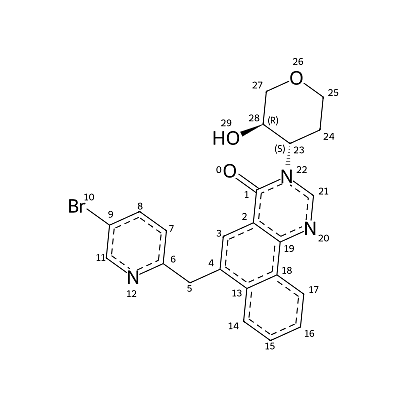 O=c1c2cc(Cc3ccc(Br)cn3)c3ccccc3c2ncn1[C@H]1CCOC[C@@H]1O